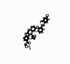 COC(=O)c1ccc2nc(CN3CCC(ON4CC=CC=C4CSc4ccc(Cl)cc4F)CC3)n(C[C@@H]3CCO3)c2c1